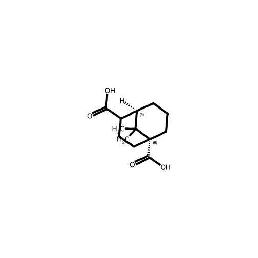 CC1(C)[C@@H]2CCC[C@@]1(C(=O)O)CCC2C(=O)O